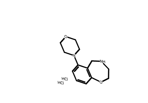 Cl.Cl.c1cc2c(c(N3CCOCC3)c1)CNCCO2